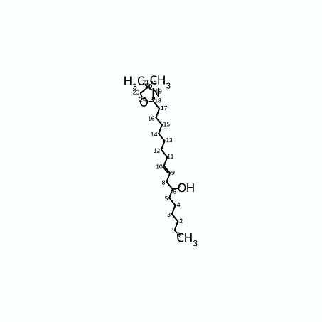 CCCCCCC(O)CC=CCCCCCCCC1=NC(C)(C)CO1